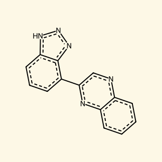 c1ccc2nc(-c3cccc4[nH]nnc34)cnc2c1